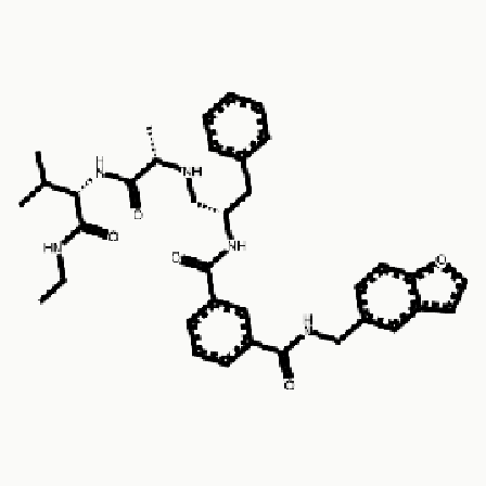 CCNC(=O)[C@@H](NC(=O)[C@H](C)NC[C@H](Cc1ccccc1)NC(=O)c1cccc(C(=O)NCc2ccc3occc3c2)c1)C(C)C